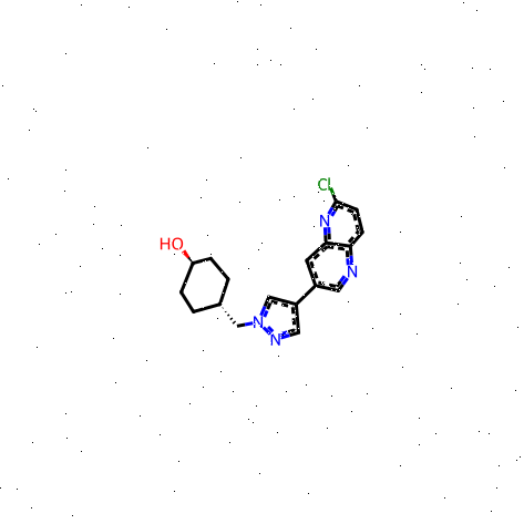 O[C@H]1CC[C@H](Cn2cc(-c3cnc4ccc(Cl)nc4c3)cn2)CC1